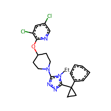 CCn1c(N2CCC(Oc3ncc(Cl)cc3Cl)CC2)nnc1C1(c2ccccc2)CC1